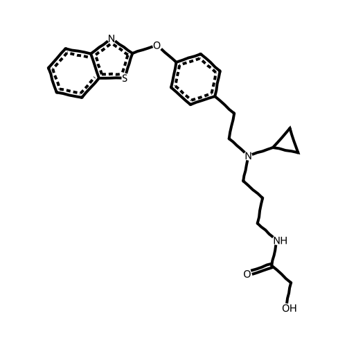 O=C(CO)NCCCN(CCc1ccc(Oc2nc3ccccc3s2)cc1)C1CC1